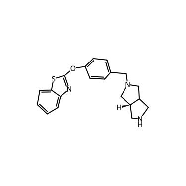 c1ccc2sc(Oc3ccc(CN4CC5CNC[C@@H]5C4)cc3)nc2c1